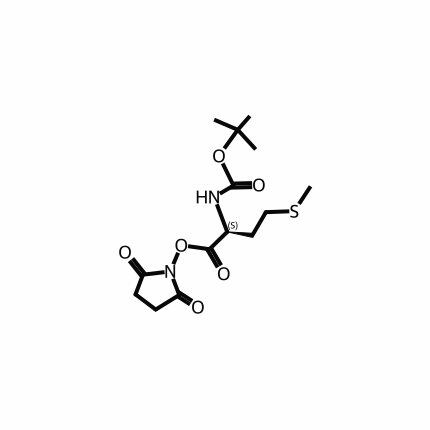 CSCC[C@H](NC(=O)OC(C)(C)C)C(=O)ON1C(=O)CCC1=O